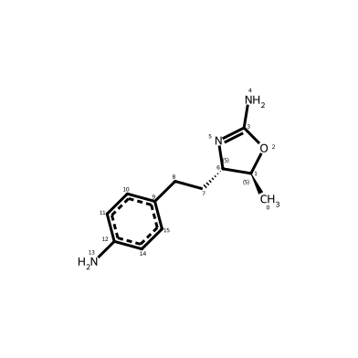 C[C@@H]1OC(N)=N[C@H]1CCc1ccc(N)cc1